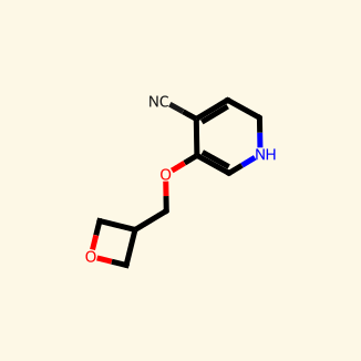 N#CC1=CCNC=C1OCC1COC1